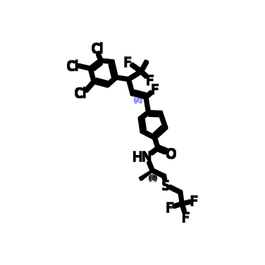 C[C@H](CSCC(F)(F)F)NC(=O)c1ccc(/C(F)=C/C(c2cc(Cl)c(Cl)c(Cl)c2)C(C)(F)F)cc1